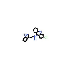 Clc1ccc2c(NCCc3c[nH]c4ccccc34)c3c(nc2c1)CCCC3